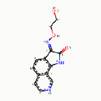 O=C1Nc2c(ccc3ccncc23)C1=NOCCO